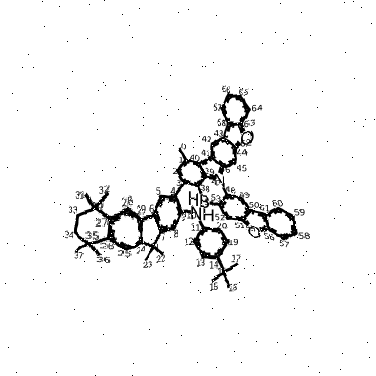 Cc1cc(-c2cc3c(cc2Nc2ccc(C(C)(C)C)cc2)C(C)(C)c2cc4c(cc2-3)C(C)(C)CCC4(C)C)c2c3c1c1cc4c(cc1n3-c1cc3c(cc1B2)oc1ccccc13)oc1ccccc14